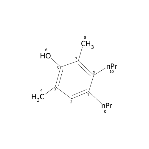 CCCc1cc(C)c(O)c(C)c1CCC